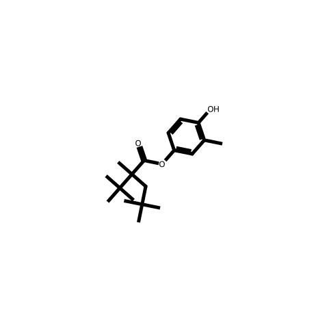 Cc1cc(OC(=O)C(C)(CC(C)(C)C)C(C)(C)C)ccc1O